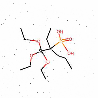 CCCC(CC)([Si](OCC)(OCC)OCC)P(=O)(O)O